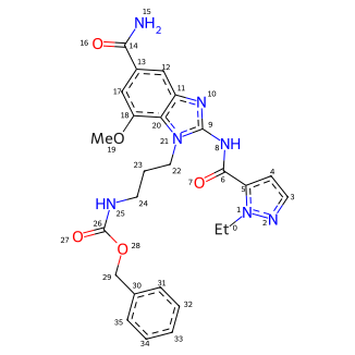 CCn1nccc1C(=O)Nc1nc2cc(C(N)=O)cc(OC)c2n1CCCNC(=O)OCc1ccccc1